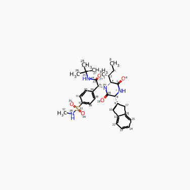 CC[C@@H](C)[C@@H]1C(=O)N[C@H](C2Cc3ccccc3C2)C(=O)N1[C@@H](C(=O)NC(C)(C)C)c1ccc(S(=O)(=O)NC)cc1